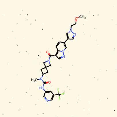 COCCn1cc(-c2ccc3c(C(=O)N4CC5(CC(N(C)C(=O)Nc6cncc(C(F)(F)F)c6)C5)C4)cnn3c2)cn1